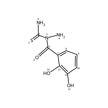 NC(=S)N(N)C(=O)c1cccc(O)c1O